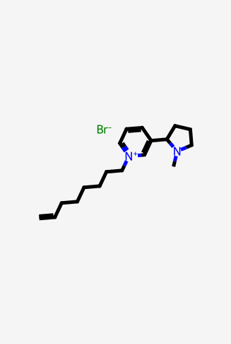 C=CCCCCCC[n+]1cccc(C2CCCN2C)c1.[Br-]